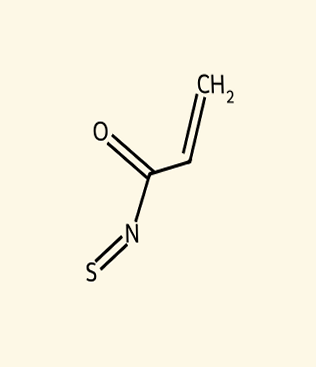 C=CC(=O)N=S